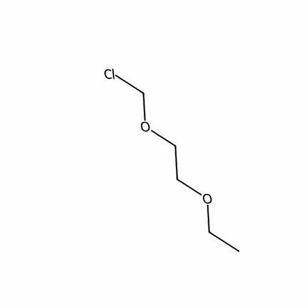 CCOCCOCCl